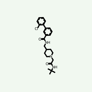 CC(C)(C)NC(=O)CN1CCC(CNC(=O)c2cccc(-c3ccccc3Cl)c2)CC1